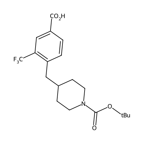 CC(C)(C)OC(=O)N1CCC(Cc2ccc(C(=O)O)cc2C(F)(F)F)CC1